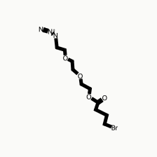 [N-]=[N+]=NCCOCCOCCOC(=O)CCCBr